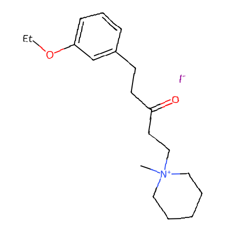 CCOc1cccc(CCC(=O)CC[N+]2(C)CCCCC2)c1.[I-]